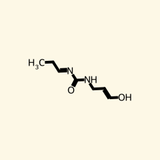 CCC=NC(=O)NCC=CO